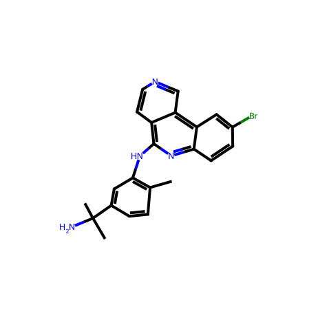 Cc1ccc(C(C)(C)N)cc1Nc1nc2ccc(Br)cc2c2cnccc12